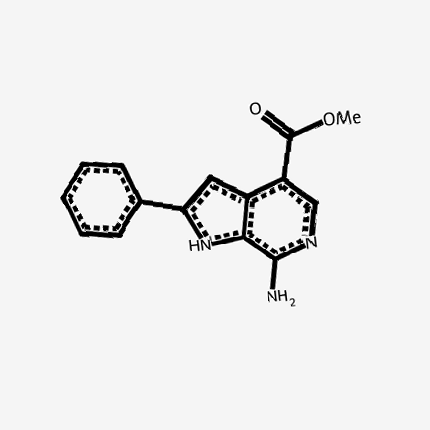 COC(=O)c1cnc(N)c2[nH]c(-c3ccccc3)cc12